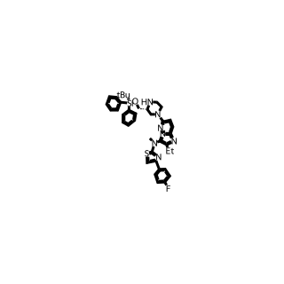 CCc1nc2ccc(N3CCN[C@@H](CO[Si](c4ccccc4)(c4ccccc4)C(C)(C)C)C3)nn2c1N(C)c1nc(-c2ccc(F)cc2)cs1